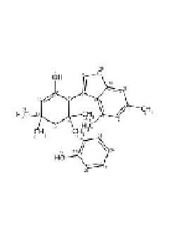 Cc1cc(C)c2c(C3C(O)=CC(C)(C)CC3(C)C)coc2c1.Oc1ccccc1